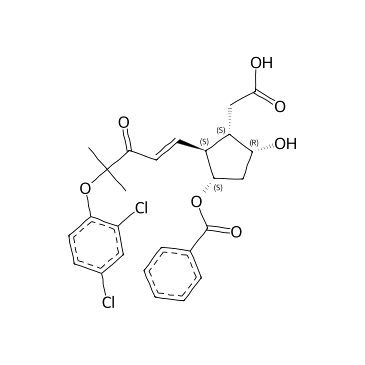 CC(C)(Oc1ccc(Cl)cc1Cl)C(=O)C=C[C@H]1[C@H](CC(=O)O)[C@H](O)C[C@@H]1OC(=O)c1ccccc1